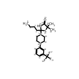 CCCCC1(N2CCN(c3cccc(C(F)(F)F)c3)CC2)NC(=O)C(C)(C)S1